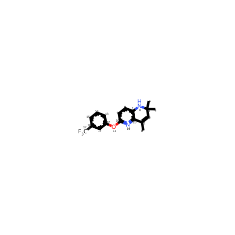 CC1=CC(C)(C)Nc2ccc(Oc3cccc(C(F)(F)F)c3)nc21